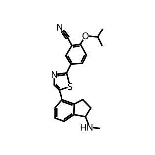 CNC1CCc2c(-c3cnc(-c4ccc(OC(C)C)c(C#N)c4)s3)cccc21